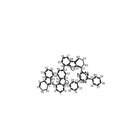 C1=Cc2c(n(-c3cccc4oc5cc(-c6cccc7c8c(oc67)=C(c6nc(-c7ccccc7)nc(-c7ccccc7)n6)CCC=8)ccc5c34)c3ccccc23)CC1